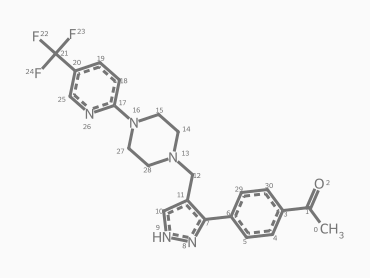 CC(=O)c1ccc(-c2n[nH]cc2CN2CCN(c3ccc(C(F)(F)F)cn3)CC2)cc1